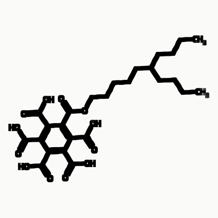 CCCCC(CCCC)CCCCCOC(=O)c1c(C(=O)O)c(C(=O)O)c(C(=O)O)c(C(=O)O)c1C(=O)O